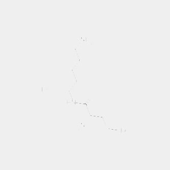 CC(C)(C)OC[C@H](N)C(=O)N[C@@H](CCCCN)C(=O)O